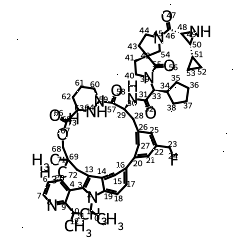 CCn1c(-c2cccnc2C(C)C)c2c3cc(ccc31)-c1cc(CF)cc(c1)C[C@H](NC(=O)[C@H](C1CCCC1)N1CC[C@]3(CCN(C(=O)[C@@H]4N[C@@H]4C4CC4)C3)C1=O)C(=O)N1CCC[C@H](N1)C(=O)OCC(C)(C)C2